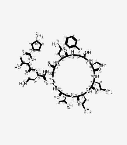 CC(C)C[C@@H]1NC(O)[C@@H](Cc2ccccc2)NC(=O)[C@H](CCN)NC(=O)[C@@H](NC(=O)[C@H](CCN)NC(=O)[C@@H](NC(=O)[C@H]2CC[C@@H](N)C2)C(C)O)CCNC(=O)[C@H](C(C)O)NC(=O)[C@H](CCN)NC(=O)[C@H](CCN)NC1=O